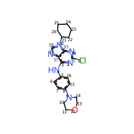 Clc1nc(Nc2ccc(N3CCOCC3)cc2)c2ncn(C3CCCCC3)c2n1